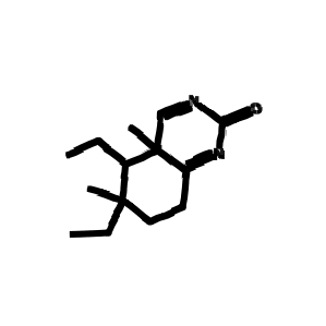 CCC1C(C)(CC)CCC2=NC(=O)N=CC21C